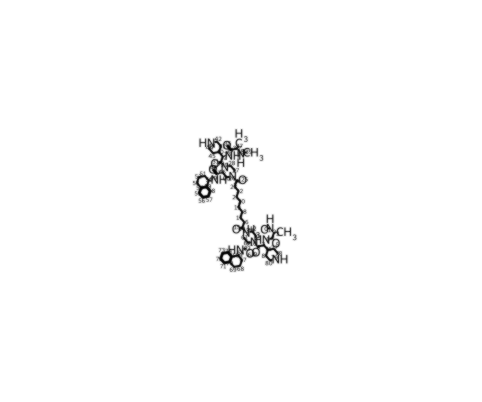 CN[C@@H](C)C(=O)N[C@H](C(=O)N1CCN(C(=O)CCCCCCCCC(=O)N2CCN(C(=O)[C@@H](NC(=O)[C@H](C)NC)C3CCNCC3)[C@H](C(=O)N[C@@H]3CCCc4ccccc43)C2)C[C@H]1C(=O)N[C@@H]1CCCc2ccccc21)C1CCNCC1